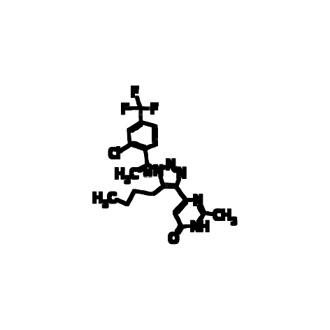 CCCCc1c(-c2cc(=O)[nH]c(C)n2)nnn1[C@@H](C)c1ccc(C(F)(F)F)cc1Cl